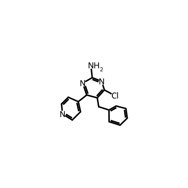 Nc1nc(Cl)c(Cc2ccccc2)c(-c2ccncc2)n1